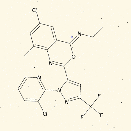 CC/N=c1\oc(-c2cc(C(F)(F)F)nn2-c2ncccc2Cl)nc2c(C)cc(Cl)cc12